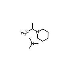 CC(N)N1CCCCC1.CN(C)C